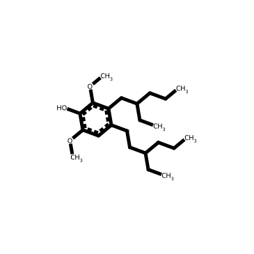 CCCC(CC)C[C]c1cc(OC)c(O)c(OC)c1CC(CC)CCC